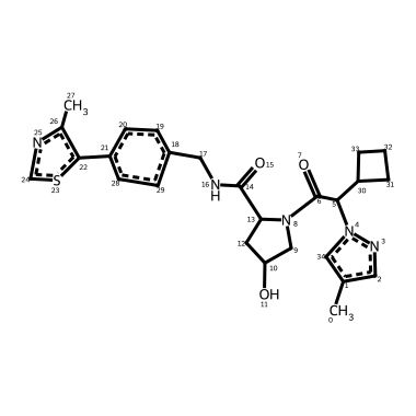 Cc1cnn(C(C(=O)N2CC(O)CC2C(=O)NCc2ccc(-c3scnc3C)cc2)C2CCC2)c1